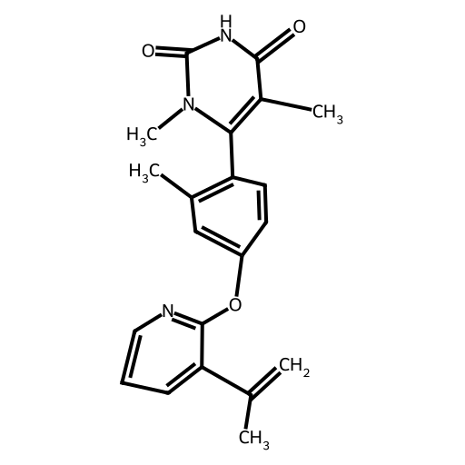 C=C(C)c1cccnc1Oc1ccc(-c2c(C)c(=O)[nH]c(=O)n2C)c(C)c1